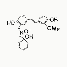 COc1cc(C=Cc2ccc(O)c(C=[N+]([O-])CC3(O)C=CC=CC3)c2)ccc1O